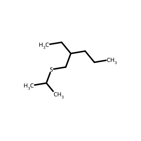 CCCC(CC)CSC(C)C